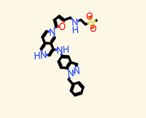 CS(=O)(=O)CCNCc1ccc(N2C=CC3=CNC=C(Nc4ccc5c(cnn5Cc5ccccc5)c4)C3=C2)o1